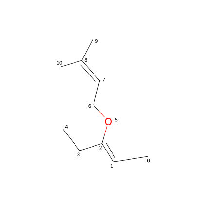 CC=C(CC)OCC=C(C)C